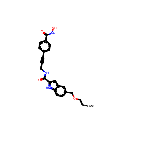 COCCOCc1ccc2[nH]c(C(=O)NCC#Cc3ccc(C(=O)NO)cc3)cc2c1